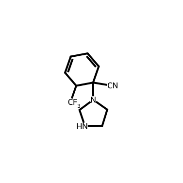 N#CC1(N2CCNC2)C=CC=CC1C(F)(F)F